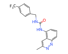 Cc1cc2c(NC(=O)NCc3ccc(C(F)(F)F)cc3)cccc2nn1